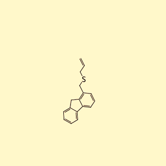 C=CCSCc1cccc2c1Cc1ccccc1-2